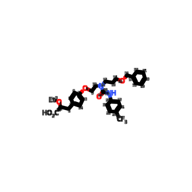 CCOC(Cc1ccc(OCCN(CCCOCc2ccccc2)C(=O)Nc2ccc(C(F)(F)F)cc2)cc1)C(=O)O